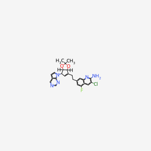 CC1(C)O[C@@H]2[C@H](O1)C(CCc1cc(F)c3cc(Cl)c(N)nc3c1)=C[C@H]2n1ccc2cncnc21